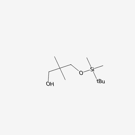 CC(C)(CO)CO[Si](C)(C)C(C)(C)C